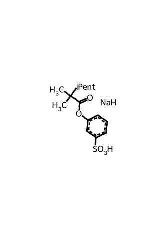 CCCC(C)C(C)(C)C(=O)Oc1cccc(S(=O)(=O)O)c1.[NaH]